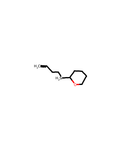 C=CCC[SiH2]C1CCCCO1